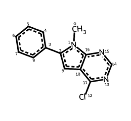 Cn1c(-c2ccccc2)cc2c(Cl)ncnc21